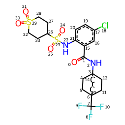 O=C(NC12CCC(C(F)(F)F)(CC1)CC2)c1cc(Cl)ccc1NS(=O)(=O)C1CCS(=O)(=O)CC1